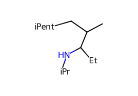 CCCC(C)CC(C)C(CC)NC(C)C